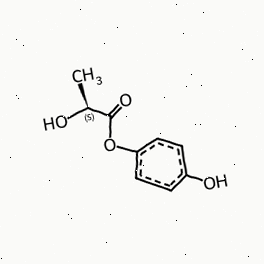 C[C@H](O)C(=O)Oc1ccc(O)cc1